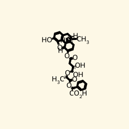 C[C@H](OC(O)[C@@H](O)CC(=O)OC1=CC[C@@]2(O)[C@H]3Cc4ccc(O)c5c4C2(CCN3C)[C@H]1O5)C(=O)O[C@H](C(=O)O)c1ccccc1